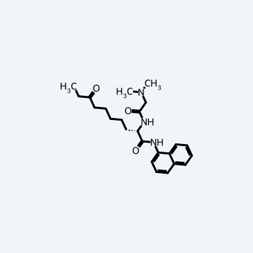 CCC(=O)CCCCC[C@H](NC(=O)CN(C)C)C(=O)Nc1cccc2ccccc12